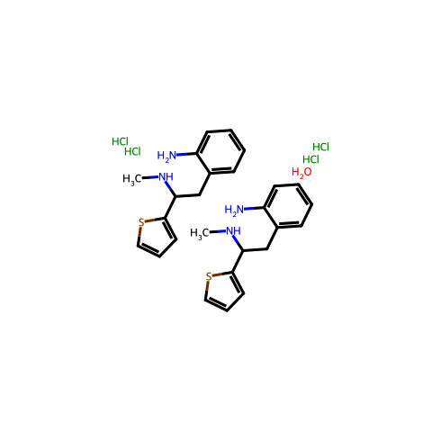 CNC(Cc1ccccc1N)c1cccs1.CNC(Cc1ccccc1N)c1cccs1.Cl.Cl.Cl.Cl.O